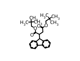 CC(C)(C)COC(=O)CC(C(=O)OCC(C)(C)C)C1c2ccccc2-c2ccccc21